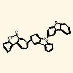 O=c1oc2ccccc2c2ccc(-c3ccc4c(c3)c3ccccc3n4-c3ccc4sc5ccccc5c4c3)cc12